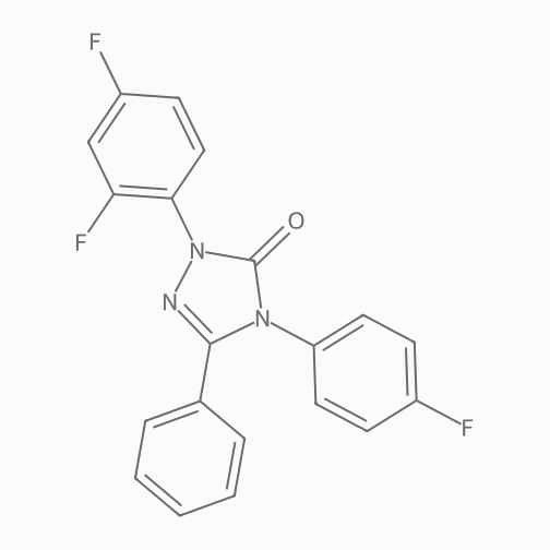 O=c1n(-c2ccc(F)cc2F)nc(-c2ccccc2)n1-c1ccc(F)cc1